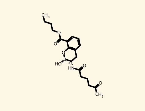 CCCCOC(=O)c1cccc2c1OB(O)[C@@H](NC(=O)CCCC(C)=O)C2